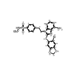 CC(C)(C)NS(=O)(=O)c1ccc(CCn2c(Sc3cc4c(cc3Br)OCO4)nc3c(N)ncnc32)cc1